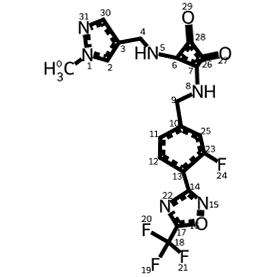 Cn1cc(CNc2c(NCc3ccc(-c4noc(C(F)(F)F)n4)c(F)c3)c(=O)c2=O)cn1